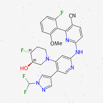 COc1cccc(F)c1-c1nc(Nc2cc(N3CC[C@@H](F)[C@H](O)C3)c(-c3cnn(C(F)F)c3)cn2)ccc1C#N